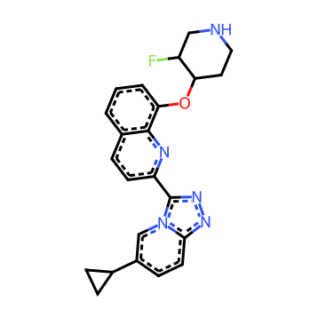 FC1CNCCC1Oc1cccc2ccc(-c3nnc4ccc(C5CC5)cn34)nc12